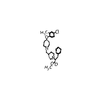 COC(=O)C(Cc1ccccc1)N1CCC(CN2CCC(Oc3ccc(Cl)cc3C)CC2)CC1